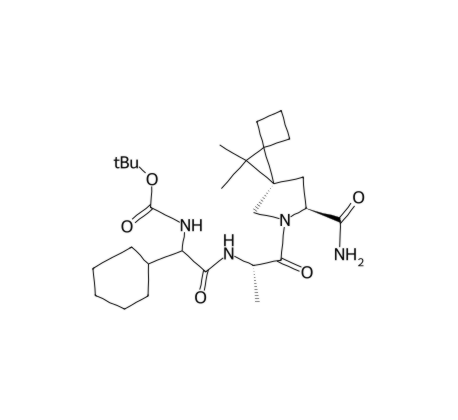 C[C@H](NC(=O)C(NC(=O)OC(C)(C)C)C1CCCCC1)C(=O)N1C[C@]2(C[C@H]1C(N)=O)C(C)(C)C21CCC1